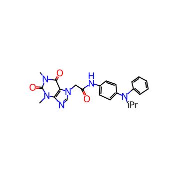 CC(C)N(c1ccccc1)c1ccc(NC(=O)Cn2cnc3c2c(=O)n(C)c(=O)n3C)cc1